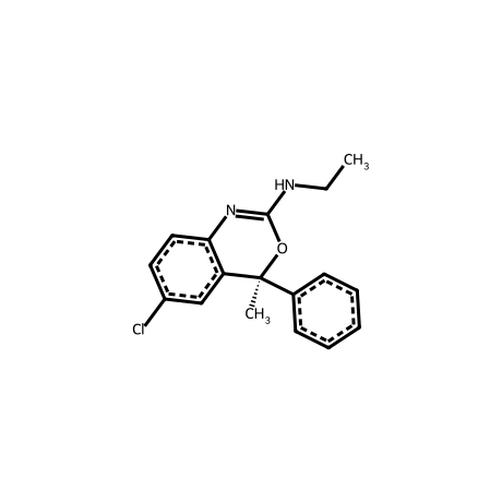 CCNC1=Nc2ccc(Cl)cc2[C@](C)(c2ccccc2)O1